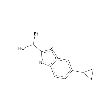 CCC(O)c1nc2ccc(C3CC3)cc2s1